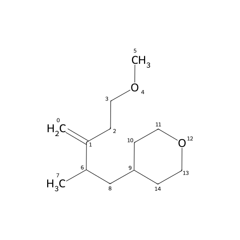 C=C(CCOC)C(C)CC1CCOCC1